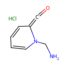 Cl.NCN1C=CC=CC1=C=O